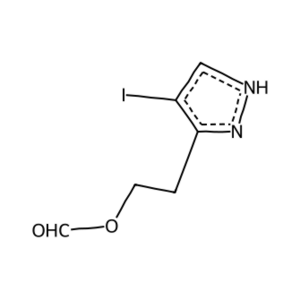 O=COCCc1n[nH]cc1I